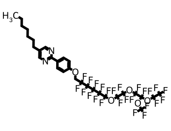 CCCCCCCc1cnc(-c2ccc(OCC(F)(F)C(F)(F)C(F)(F)C(F)(F)C(F)(F)OC(F)(F)C(F)(F)OC(F)(F)C(F)(OC(F)(F)F)OC(F)(F)C(F)(F)F)cc2)nc1